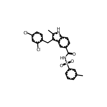 Cc1cccc(S(=O)(=O)NC(=O)c2ccc3[nH]c(C)c(Cc4ccc(Cl)cc4Cl)c3c2)c1